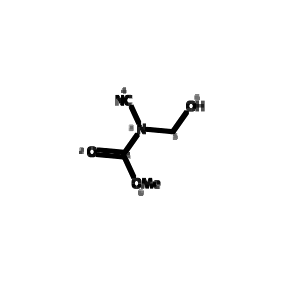 COC(=O)N(C#N)CO